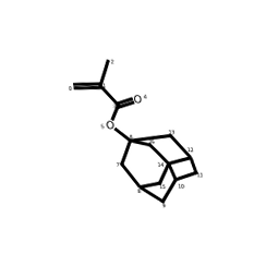 C=C(C)C(=O)OC12CC3CC4CC(C1)C4(C3)C2